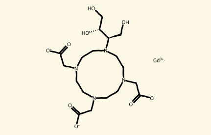 O=C([O-])CN1CCN(CC(=O)[O-])CCN([C@H](CO)[C@H](O)CO)CCN(CC(=O)[O-])CC1.[Gd+3]